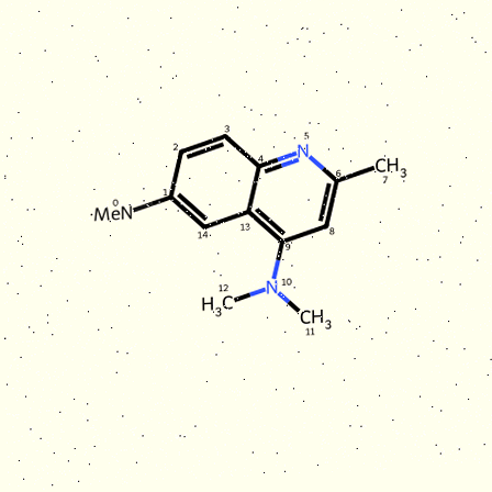 C[N]c1ccc2nc(C)cc(N(C)C)c2c1